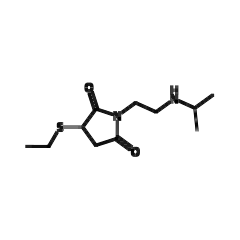 CCSC1CC(=O)N(CCNC(C)C)C1=O